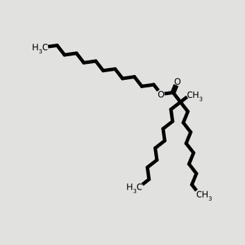 CCCCCCCCCCCCOC(=O)C(C)(CCCCCCCCC)CCCCCCCCC